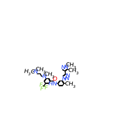 Cc1ccc(NC(=O)c2cc(N(C)CCCN(C)C)cc(C(F)(F)F)c2)cc1-n1cc(-c2cnn(C)c2C)nn1